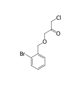 O=C(CCl)COCc1ccccc1Br